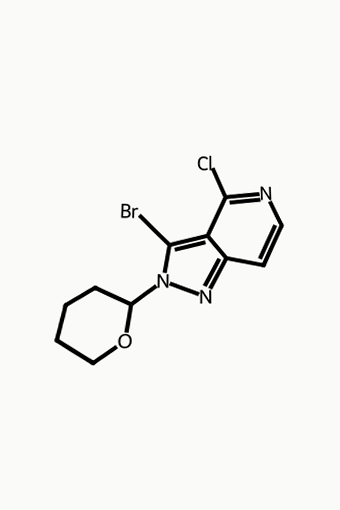 Clc1nccc2nn(C3CCCCO3)c(Br)c12